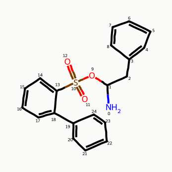 NC(Cc1ccccc1)OS(=O)(=O)c1ccccc1-c1ccccc1